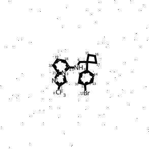 FC(F)(F)c1cn2c(NCC3(c4ccc(Br)cc4)CCC3)cccc2n1